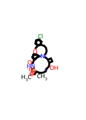 COCC1C(C)C/C=C/C(O)C2CCC2CN2CCCCc3cc(Cl)ccc3COc3ccc(cc32)C(=O)NS1(=O)=O